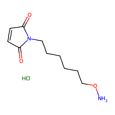 Cl.NOCCCCCCN1C(=O)C=CC1=O